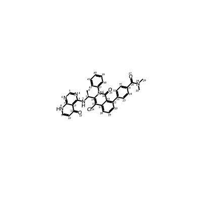 C[C@H](Nc1ncnc2[nH]ccc(=O)c12)c1c(Cl)c2cccc(-c3ccc(C(=O)N(C)C)cc3)c2c(=O)n1-c1ccccc1